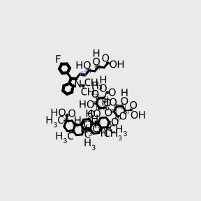 CC(C)n1c(/C=C/[C@@H](O)C[C@@H](O)CC(=O)O)c(-c2ccc(F)cc2)c2ccccc21.CC1(C)[C@@H](O[C@H]2O[C@H](C(=O)O)[C@@H](O)[C@H](O)[C@H]2O[C@@H]2O[C@H](C(=O)O)[C@@H](O)[C@H](O)[C@H]2O)CC[C@]2(C)[C@H]3C(=O)C=C4[C@@H]5C[C@@](C)(C(=O)O)CC[C@]5(C)CC[C@@]4(C)[C@]3(C)CC[C@@H]12